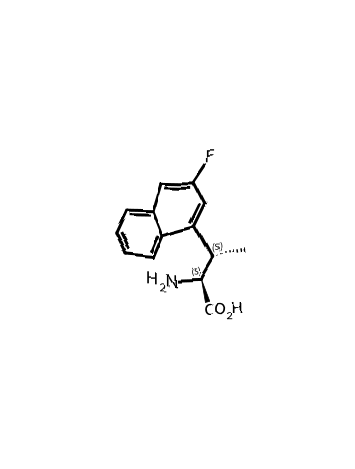 C[C@@H](c1cc(F)cc2ccccc12)[C@H](N)C(=O)O